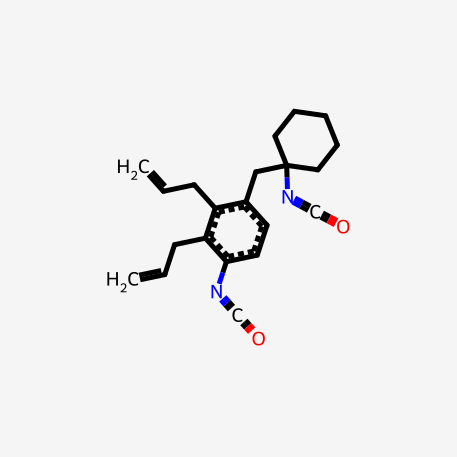 C=CCc1c(CC2(N=C=O)CCCCC2)ccc(N=C=O)c1CC=C